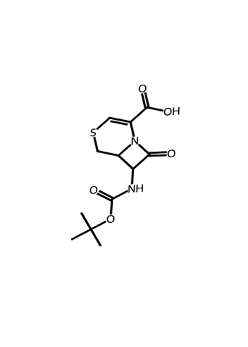 CC(C)(C)OC(=O)NC1C(=O)N2C(C(=O)O)=CSCC12